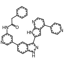 O=C(Cc1ccccc1)Nc1cncc(-c2ccc3[nH]nc(-c4cc5c(-c6ccncc6)ccnc5[nH]4)c3c2)c1